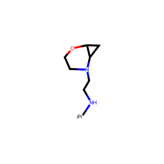 CC(C)NCCN1CCOC2CC21